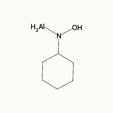 O[N]([AlH2])C1CCCCC1